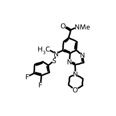 CNC(=O)c1cc(N(C)Sc2ccc(F)c(F)c2)c2nc(N3CCOCC3)cnc2c1